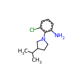 CC(C)C1CCN(c2c(N)cccc2Cl)C1